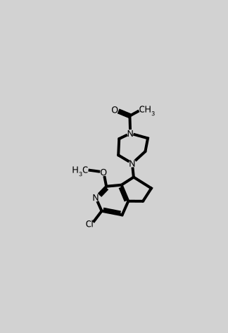 COc1nc(Cl)cc2c1C(N1CCN(C(C)=O)CC1)CC2